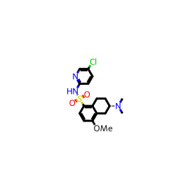 COc1ccc(S(=O)(=O)Nc2ccc(Cl)cn2)c2c1C[C@@H](N(C)C)CC2